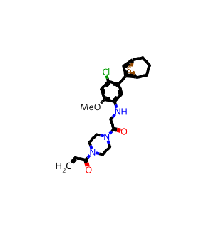 C=CC(=O)N1CCN(C(=O)CNc2cc(-c3cc4sc3CCC4)c(Cl)cc2OC)CC1